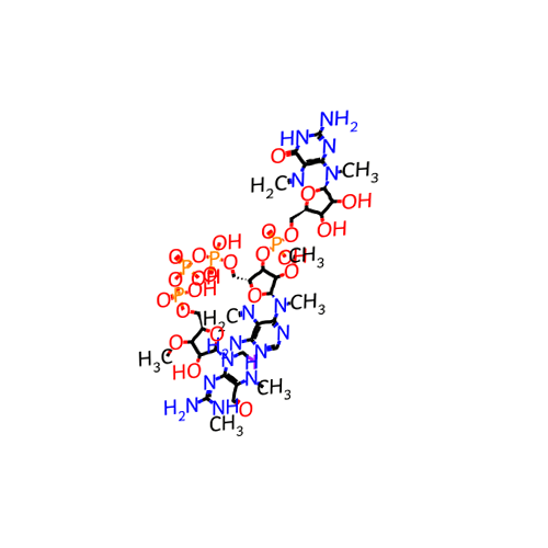 C=Nc1c(N)ncnc1N(C)[C@@H]1O[C@H](COP(=O)(O)OP(=O)(O)OP(=O)(O)OC[C@H]2O[C@@H](N(CI)C(/N=C(/N)NC)=C(/C=O)NC)C(O)C2OC)C(OP(=O)(O)OC[C@H]2O[C@@H](N(C)c3nc(N)[nH]c(=O)c3N=C)C(O)C2O)C1OC